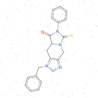 O=C1C2Cc3c(ncn3Cc3ccccc3)CN2C(=S)N1c1ccccc1